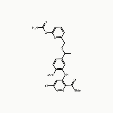 CNC(=O)c1nnc(Cl)cc1Nc1cc(C(C)OCc2cccc(OC(N)=O)n2)ccc1OC